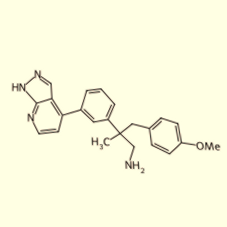 COc1ccc(CC(C)(CN)c2cccc(-c3ccnc4[nH]ncc34)c2)cc1